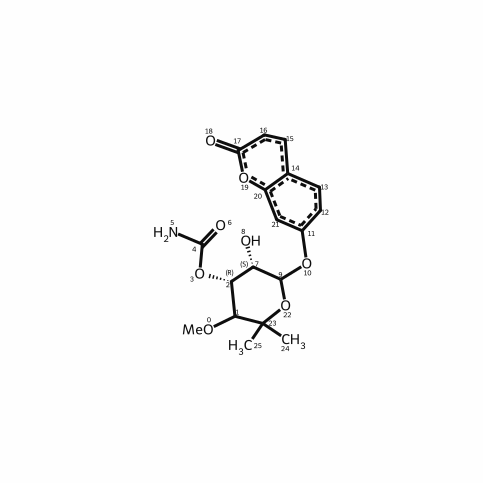 COC1[C@H](OC(N)=O)[C@H](O)C(Oc2ccc3ccc(=O)oc3c2)OC1(C)C